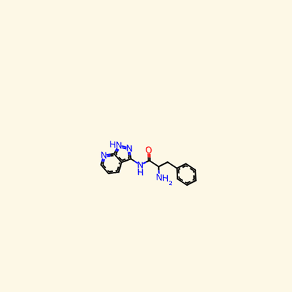 NC(Cc1ccccc1)C(=O)Nc1n[nH]c2ncccc12